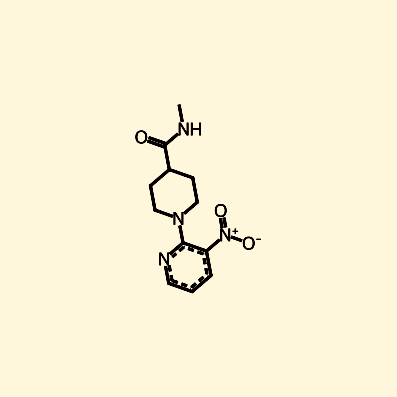 CNC(=O)C1CCN(c2ncccc2[N+](=O)[O-])CC1